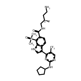 CP(C)(=O)c1c(C(=O)NC[C@H](F)CCN)ccc2c(-c3nc(NC4CCCC4)ncc3C(F)(F)F)c[nH]c12